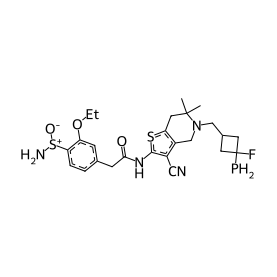 CCOc1cc(CC(=O)Nc2sc3c(c2C#N)CN(CC2CC(F)(P)C2)C(C)(C)C3)ccc1[S+](N)[O-]